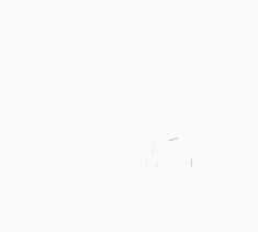 CC(C)CCCCCOC(=O)C(O)S(=O)(=O)OCCCCCC(C)C